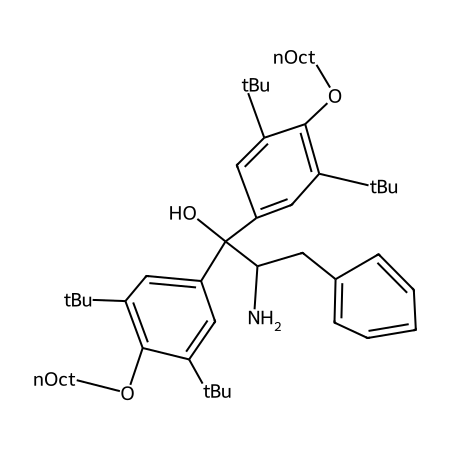 CCCCCCCCOc1c(C(C)(C)C)cc(C(O)(c2cc(C(C)(C)C)c(OCCCCCCCC)c(C(C)(C)C)c2)C(N)Cc2ccccc2)cc1C(C)(C)C